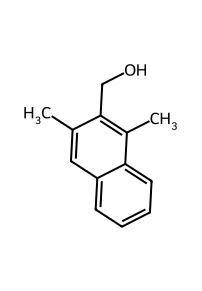 Cc1cc2ccccc2c(C)c1CO